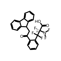 O=C(CC1c2ccccc2-c2ccccc21)c1ccccc1C(F)(F)[C@@](F)(C(=O)O)N(F)F